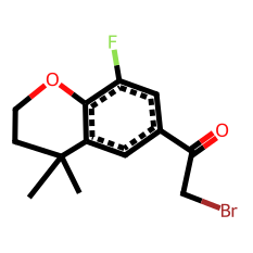 CC1(C)CCOc2c(F)cc(C(=O)CBr)cc21